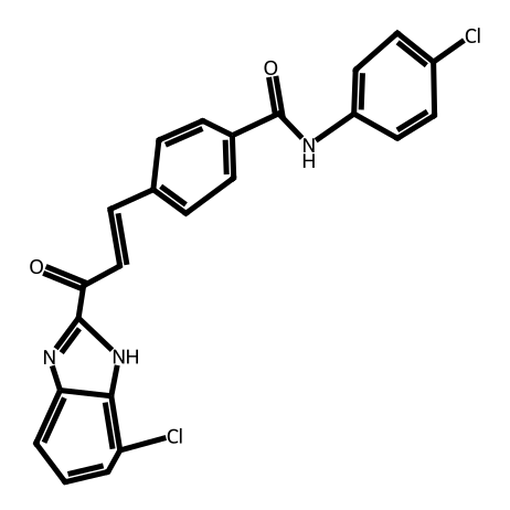 O=C(Nc1ccc(Cl)cc1)c1ccc(C=CC(=O)c2nc3cccc(Cl)c3[nH]2)cc1